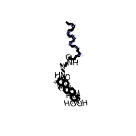 CC/C=C\C/C=C\C/C=C\C/C=C\C/C=C\C/C=C\CCC(=O)NCCN(C)CCNC(=O)[C@]12CC[C@@H](C)[C@H](C)[C@H]1C1=CC[C@@H]3[C@@]4(C)C[C@@H](O)[C@H](O)C(C)(C)[C@@H]4CC[C@@]3(C)[C@]1(C)CC2